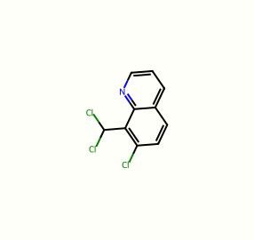 Clc1ccc2cccnc2c1C(Cl)Cl